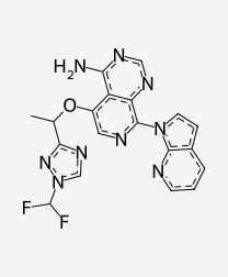 CC(Oc1cnc(-n2ccc3cccnc32)c2ncnc(N)c12)c1ncn(C(F)F)n1